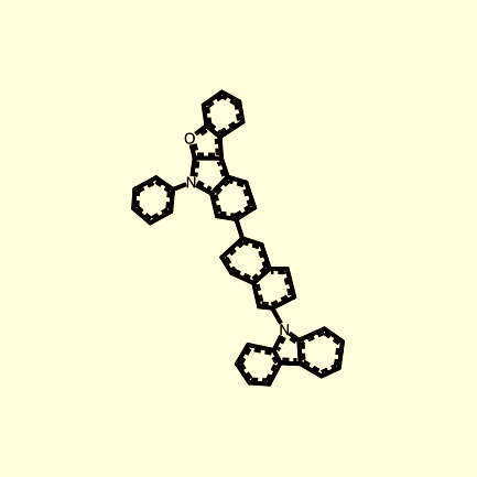 c1ccc(-n2c3cc(-c4ccc5cc(-n6c7ccccc7c7ccccc76)ccc5c4)ccc3c3c4ccccc4oc32)cc1